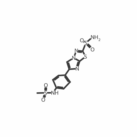 CS(=O)(=O)Nc1ccc(-c2cn3nc(S(N)(=O)=O)sc3n2)cc1